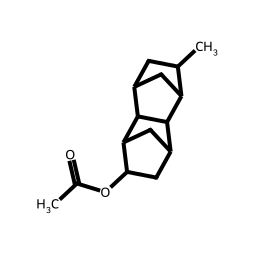 CC(=O)OC1CC2CC1C1C3CC(C)C(C3)C21